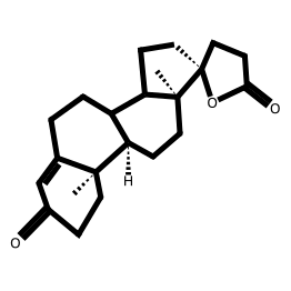 C[C@]12CCC(=O)C=C1CCC1C3CC[C@@]4(CCC(=O)O4)[C@@]3(C)CC[C@H]12